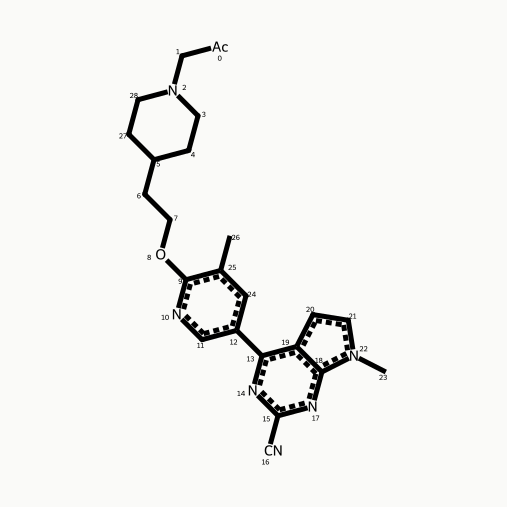 CC(=O)CN1CCC(CCOc2ncc(-c3nc(C#N)nc4c3ccn4C)cc2C)CC1